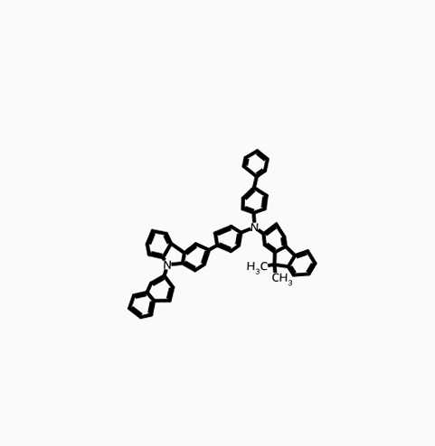 CC1(C)c2ccccc2-c2ccc(N(c3ccc(-c4ccccc4)cc3)c3ccc(-c4ccc5c(c4)c4ccccc4n5-c4ccc5ccccc5c4)cc3)cc21